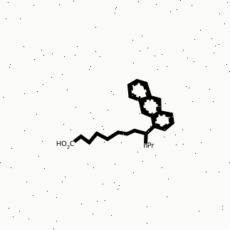 CCCC(CCCCCCCC(=O)O)c1cccc2cc3ccccc3cc12